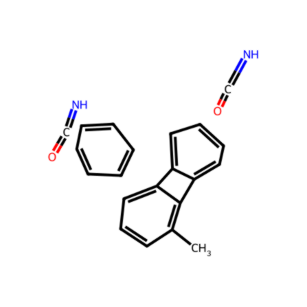 Cc1cccc2c1-c1ccccc1-2.N=C=O.N=C=O.c1ccccc1